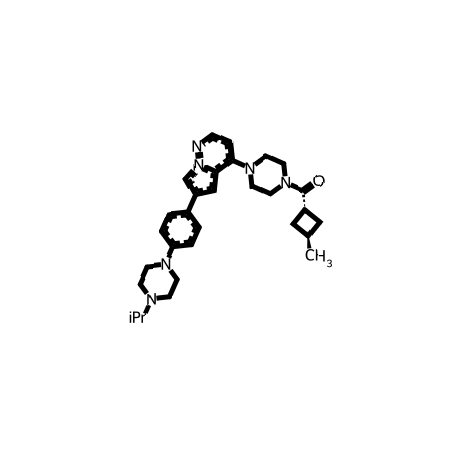 CC(C)N1CCN(c2ccc(-c3cc4c(N5CCN(C(=O)[C@H]6C[C@H](C)C6)CC5)ccnn4c3)cc2)CC1